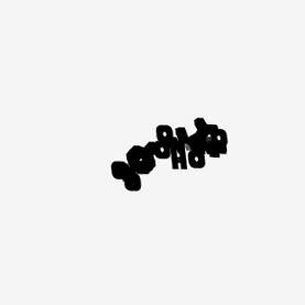 CC1COC(C)(C)N2C(=O)[C@@H](C(C)NC(=O)OCc3ccc([N+](=O)[O-])cc3)C12